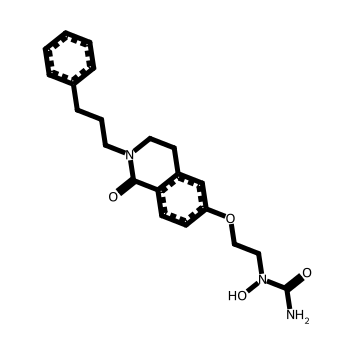 NC(=O)N(O)CCOc1ccc2c(c1)CCN(CCCc1ccccc1)C2=O